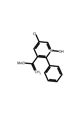 C=C(OC)c1cc(Cl)c[n+](O)c1-c1ccccc1